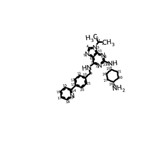 CC(C)n1cnc2c(NCc3ccc(-c4ccccn4)cc3)nc(N[C@H]3CC[C@H](N)CC3)nc21